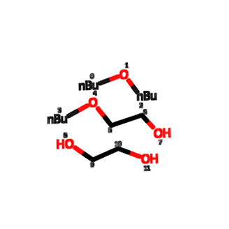 CCCCOCCCC.CCCCOCCO.OCCO